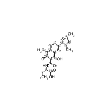 CCC(NC(=O)c1c(O)c2cc(-c3sc(C)nc3C)ccc2n(C)c1=O)C(=O)O